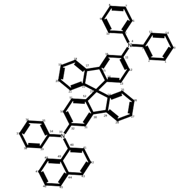 c1ccc(N(c2ccccc2)c2ccc3c(c2)-c2ccccc2C32c3ccccc3-c3cc(N(c4ccccc4)c4cccc5ccccc45)ccc32)cc1